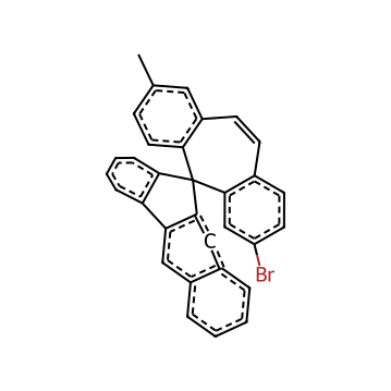 Cc1ccc2c(c1)C=Cc1ccc(Br)cc1C21c2ccccc2-c2cc3ccccc3cc21